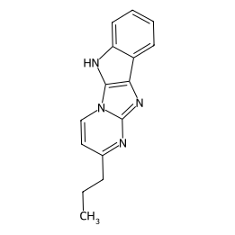 CCCc1ccn2c(n1)nc1c3ccccc3[nH]c12